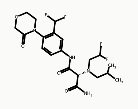 CC(C)CN(CC(F)F)[C@H](C(N)=O)C(=O)Nc1ccc(N2CCOCC2=O)c(C(F)F)c1